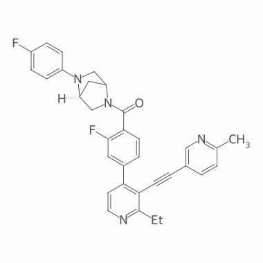 CCc1nccc(-c2ccc(C(=O)N3C[C@@H]4CC3CN4c3ccc(F)cc3)c(F)c2)c1C#Cc1ccc(C)nc1